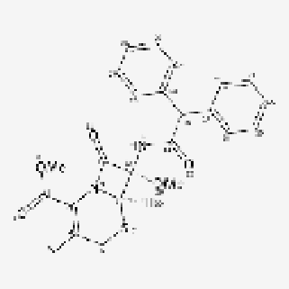 COC(=O)C1=C(C)CS[C@H]2N1C(=O)[C@]2(NC(=O)C(c1ccccc1)c1ccccc1)OC